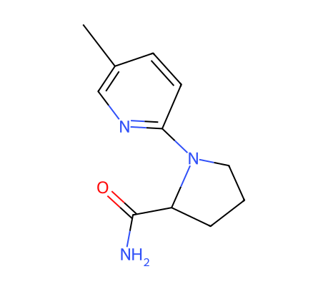 Cc1ccc(N2CCCC2C(N)=O)nc1